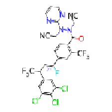 N#CCN(C(=O)c1ccc(/C(F)=C/C(c2cc(Cl)c(Cl)c(Cl)c2)C(F)(F)F)cc1C(F)(F)F)N(CC#N)c1ncccn1